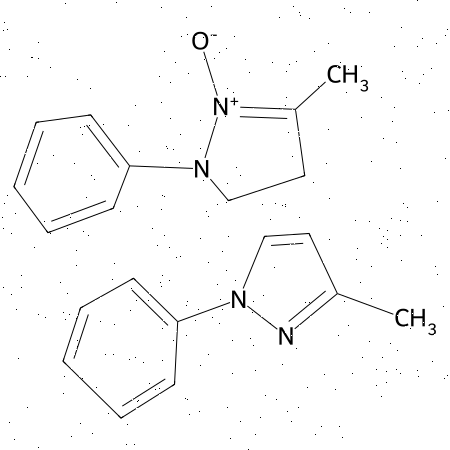 CC1=[N+]([O-])N(c2ccccc2)CC1.Cc1ccn(-c2ccccc2)n1